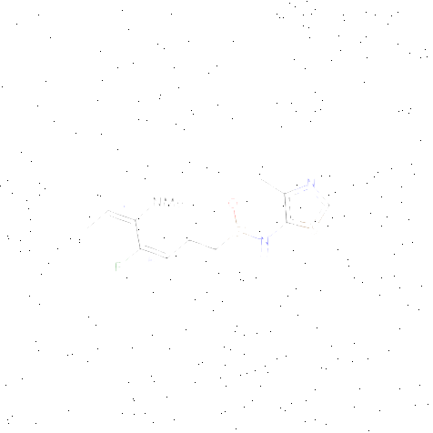 C/C=C(NC)\C(F)=C/CC[S+]([O-])Nc1scnc1C